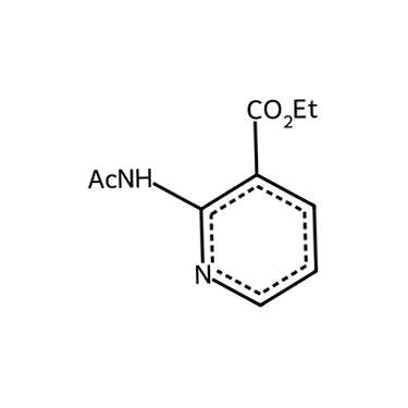 CCOC(=O)c1cccnc1NC(C)=O